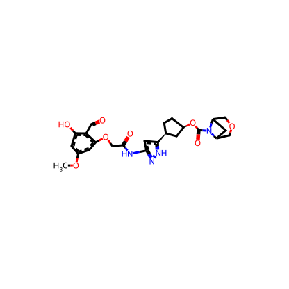 COc1cc(O)c(C=O)c(OCC(=O)Nc2cc([C@H]3CC[C@@H](OC(=O)N4C5COCC4C5)C3)[nH]n2)c1